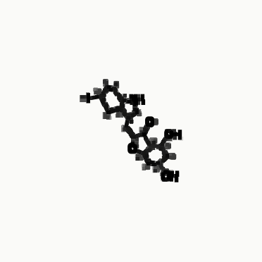 O=C1C(=Cc2c[nH]c3ccc(I)cc23)Oc2cc(O)cc(O)c21